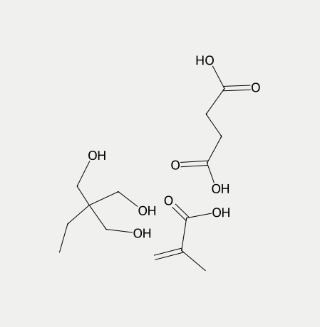 C=C(C)C(=O)O.CCC(CO)(CO)CO.O=C(O)CCC(=O)O